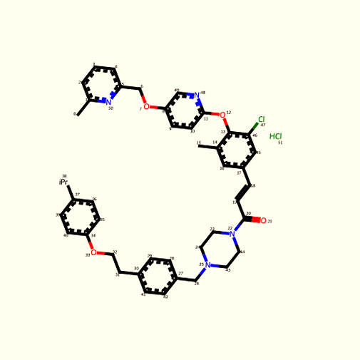 Cc1cccc(COc2ccc(Oc3c(C)cc(C=CC(=O)N4CCN(Cc5ccc(CCOc6ccc(C(C)C)cc6)cc5)CC4)cc3Cl)nc2)n1.Cl